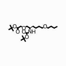 CCCCOCCCC[C@H](COCC(=O)OC(C)(C)C)NC(=O)OC(C)(C)C